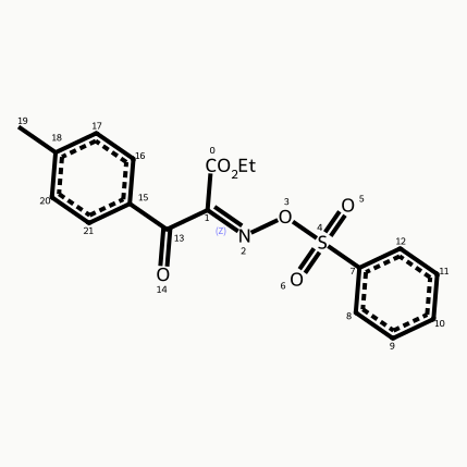 CCOC(=O)/C(=N\OS(=O)(=O)c1ccccc1)C(=O)c1ccc(C)cc1